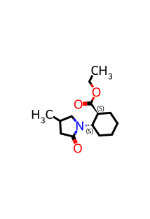 CCOC(=O)[C@H]1CCCC[C@@H]1N1CC(C)CC1=O